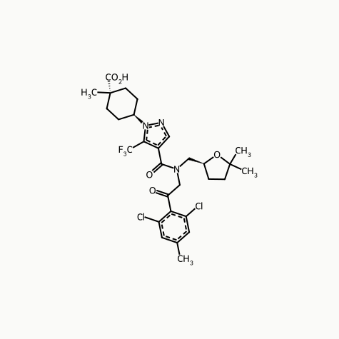 Cc1cc(Cl)c(C(=O)CN(C[C@@H]2CCC(C)(C)O2)C(=O)c2cnn([C@H]3CC[C@](C)(C(=O)O)CC3)c2C(F)(F)F)c(Cl)c1